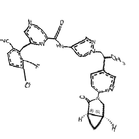 CC(c1ccc(N2C[C@H]3C[C@H]3C2=O)nc1)n1cc(NC(=O)c2cncc(-c3c(C#N)ccc(Cl)c3F)n2)cn1